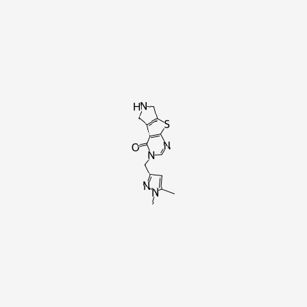 Cc1cc(Cn2cnc3sc4c(c3c2=O)CNC4)nn1C